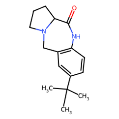 CC(C)(C)c1ccc2c(c1)CN1CCCC1C(=O)N2